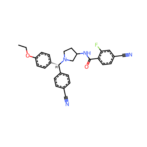 CCOc1ccc([C@@H](c2ccc(C#N)cc2)N2CCC(NC(=O)c3ccc(C#N)cc3F)C2)cc1